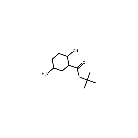 CC(C)(C)OC(=O)C1CC(N)CCC1O